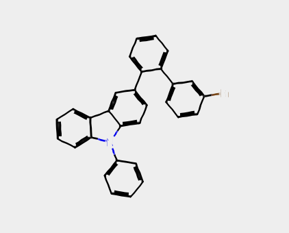 Brc1cccc(-c2ccccc2-c2ccc3c(c2)c2ccccc2n3-c2ccccc2)c1